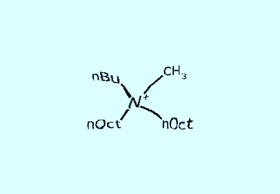 [CH2]CCC[N+](C)(CCCCCCCC)CCCCCCCC